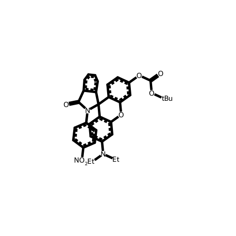 CCN(CC)c1ccc2c(c1)Oc1cc(OC(=O)OC(C)(C)C)ccc1C21c2ccccc2C(=O)N1c1ccc([N+](=O)[O-])cc1